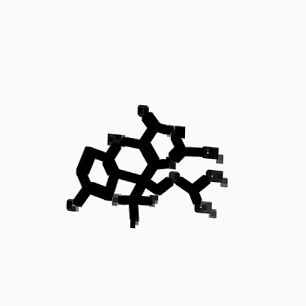 Cc1nc2c(c(=O)[nH]1)Nc1ccc(Cl)cc1C2(COC(C)C)C(F)(F)F